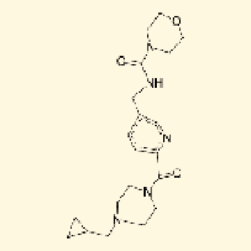 O=C(NCc1ccc(C(=O)N2CCN(CC3CC3)CC2)nc1)N1CCOCC1